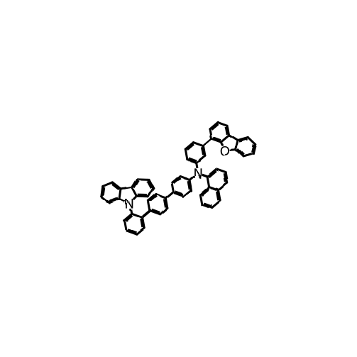 c1cc(-c2cccc3c2oc2ccccc23)cc(N(c2ccc(-c3ccc(-c4ccccc4-n4c5ccccc5c5ccccc54)cc3)cc2)c2cccc3ccccc23)c1